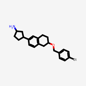 CCc1ccc(COC2CCc3cc(C4CCC(N)C4)ccc3C2)cc1